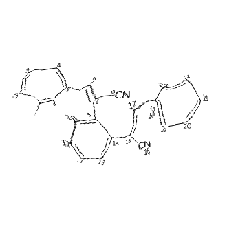 N#CC(=Cc1ccccc1)c1ccccc1C(C#N)=Cc1ccccc1